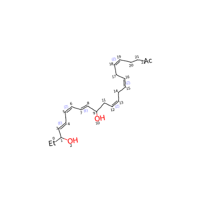 CCC(O)/C=C/C=C\C=C\C(O)C/C=C\C/C=C\C/C=C\CCC(C)=O